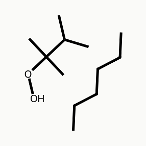 CC(C)C(C)(C)OO.CCCCCC